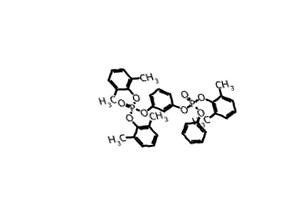 Cc1cccc(C)c1OP(=O)(Oc1ccccc1)Oc1cccc(OP(=O)(Oc2c(C)cccc2C)Oc2c(C)cccc2C)c1